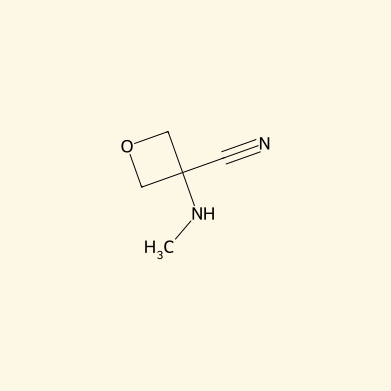 CNC1(C#N)COC1